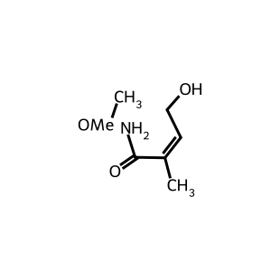 CC(=CCO)C(N)=O.COC